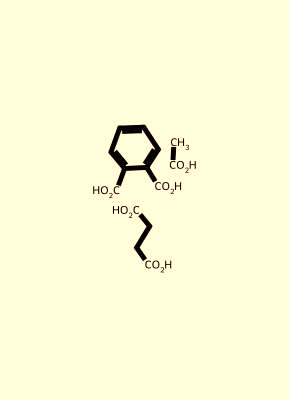 CC(=O)O.O=C(O)CCC(=O)O.O=C(O)c1ccccc1C(=O)O